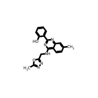 Cc1ccc2c(NCc3nnc(C)o3)nc(-c3ccccc3O)nc2c1